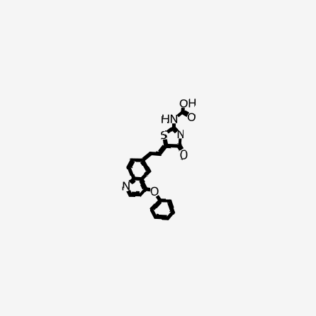 O=C(O)NC1=NC(=O)/C(=C/Cc2ccc3nccc(Oc4ccccc4)c3c2)S1